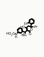 CCCC1(c2ccccc2CC)CC(O)=C(C(c2cccc(NC(=O)O)c2)C(C)(C)C)C(=O)O1